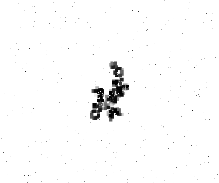 CCOC(OCC)[C@H](C)N(Cc1csc2ccccc12)C(=O)C(CC(=O)OC(C)(C)C)NC(=O)CN(C)NC(=O)NCc1ccc(Cl)cc1